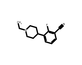 CCN1CCC(c2cccc(C#N)c2F)CC1